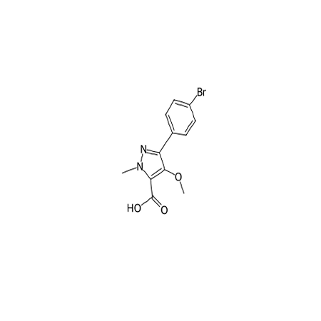 COc1c(-c2ccc(Br)cc2)nn(C)c1C(=O)O